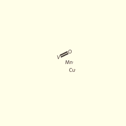 [Cu].[Mn].[O]=[V]